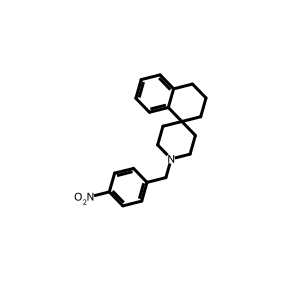 O=[N+]([O-])c1ccc(CN2CCC3(CCCc4ccccc43)CC2)cc1